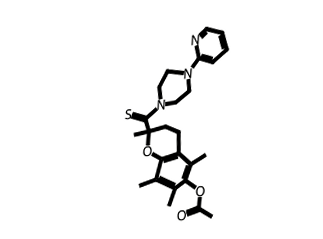 CC(=O)Oc1c(C)c(C)c2c(c1C)CCC(C)(C(=S)N1CCN(c3ccccn3)CC1)O2